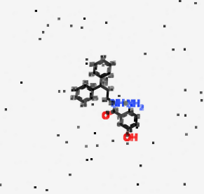 Nc1ccc(O)cc1C(=O)NCCC(c1ccccc1)c1ccccc1